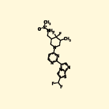 CC1CN(c2ccnc(-c3cnc4sc(C(F)F)cn34)n2)CC(CN[S+](C)[O-])C1(F)F